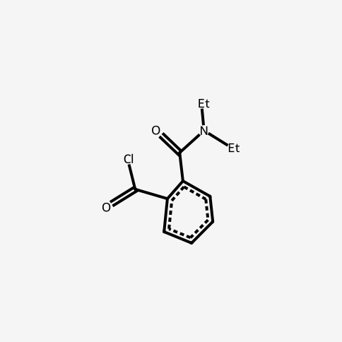 CCN(CC)C(=O)c1ccccc1C(=O)Cl